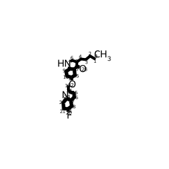 CCCCCC1CNc2ccc(OCc3ccc4cc(F)ccc4n3)cc2C1=O